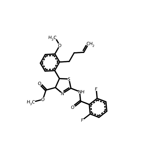 C=CCCc1c(OC)cccc1C1SC(NC(=O)c2c(F)cccc2F)=NC1C(=O)OC